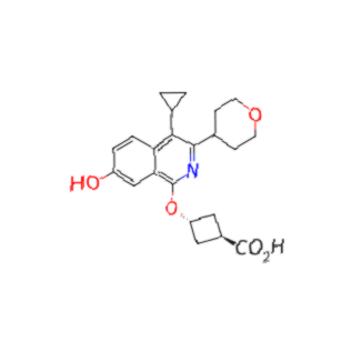 O=C(O)[C@H]1C[C@H](Oc2nc(C3CCOCC3)c(C3CC3)c3ccc(O)cc23)C1